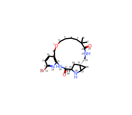 CC1(C)CCCCOCc2ccc(Br)nc2NC(=O)[C@@H]2C[C@@]3(CNC1=O)CC3N2